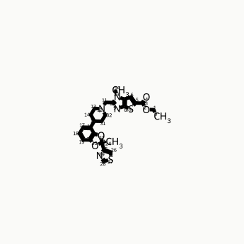 CCOC(=O)c1cc2c(nc(CN3CCC(c4cccc5c4O[C@](C)(c4cscn4)O5)CC3)n2C)s1